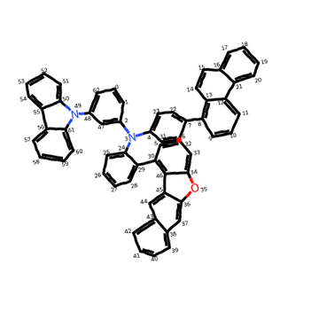 c1cc(N(c2ccc(-c3cccc4c3ccc3ccccc34)cc2)c2ccccc2-c2cccc3oc4cc5ccccc5cc4c23)cc(-n2c3ccccc3c3ccccc32)c1